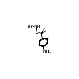 CC(C)NOC(=O)c1ccc(N)cc1